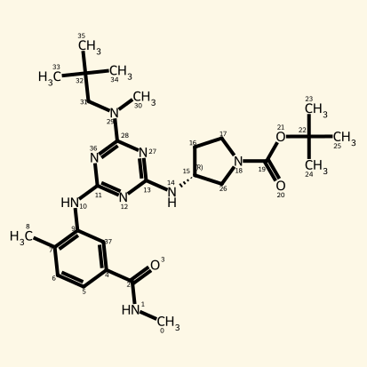 CNC(=O)c1ccc(C)c(Nc2nc(N[C@@H]3CCN(C(=O)OC(C)(C)C)C3)nc(N(C)CC(C)(C)C)n2)c1